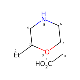 CC(=O)O.CCC1CNCCO1